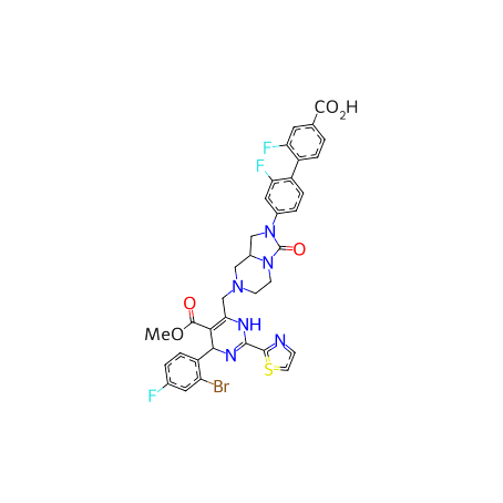 COC(=O)C1=C(CN2CCN3C(=O)N(c4ccc(-c5ccc(C(=O)O)cc5F)c(F)c4)CC3C2)NC(c2nccs2)=NC1c1ccc(F)cc1Br